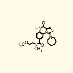 COCCN(C)C(=O)c1ccc2[nH]c(=O)c3cnc(N4CCCCCC4)n3c2c1